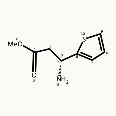 COC(=O)C[C@@H](N)c1cccs1